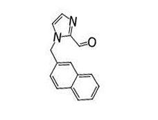 O=Cc1nccn1Cc1ccc2ccccc2c1